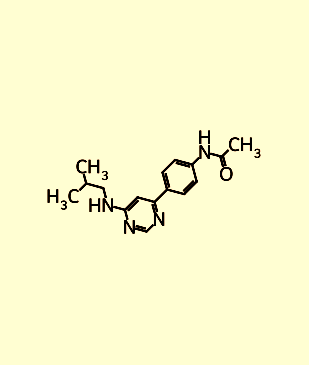 CC(=O)Nc1ccc(-c2cc(NCC(C)C)ncn2)cc1